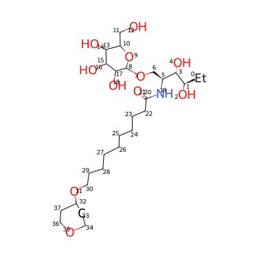 CC[C@@H](O)[C@@H](O)[C@H](COC1OC(CO)C(O)C(O)C1O)NC(=O)CCCCCCCCCOC1CCOCC1